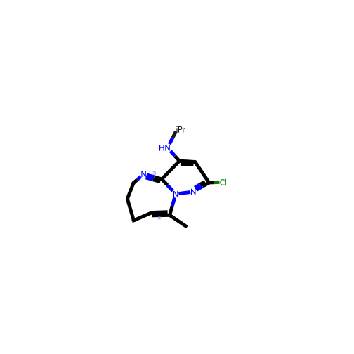 C/C1=C\CCC/N=C2/C(NC(C)C)=CC(Cl)=NN21